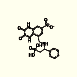 O=c1[nH]c2cc([N+](=O)[O-])cc(CNC(CP(=O)(O)O)c3ccccc3)c2[nH]c1=O